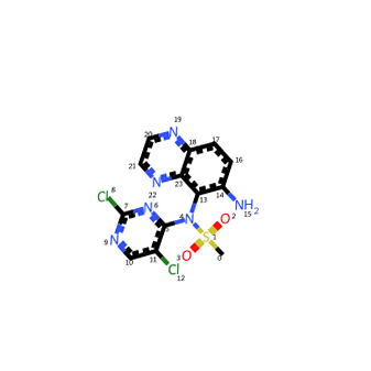 CS(=O)(=O)N(c1nc(Cl)ncc1Cl)c1c(N)ccc2nccnc12